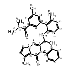 Cc1ccn2nc(C(C)Nc3ncnc(N)c3-c3cc(O)cc(C(=O)N(C)C)c3)n(-c3ccccc3)c(=O)c12